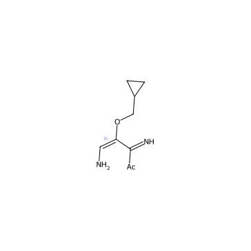 CC(=O)C(=N)/C(=C\N)OCC1CC1